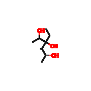 CCC(O)([CH]C(C)O)C(C)O